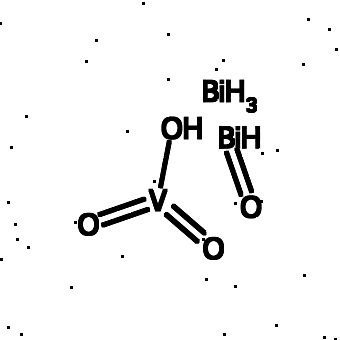 [BiH3].[O]=[BiH].[O]=[V](=[O])[OH]